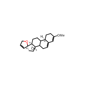 COC1=CC2=CCC3C(CC[C@@]4(C)C3CC[C@@]43C=CCO3)[C@H]2CC1